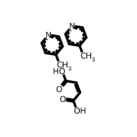 Cc1ccncc1.Cc1ccncc1.O=C(O)/C=C\C(=O)O